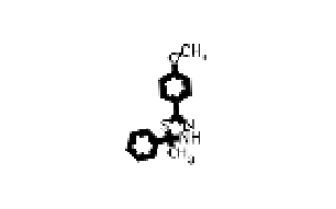 COc1ccc(C2=NNC(C)(c3ccccc3)S2)cc1